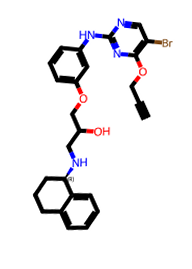 C#CCOc1nc(Nc2cccc(OCC(O)CN[C@@H]3CCCc4ccccc43)c2)ncc1Br